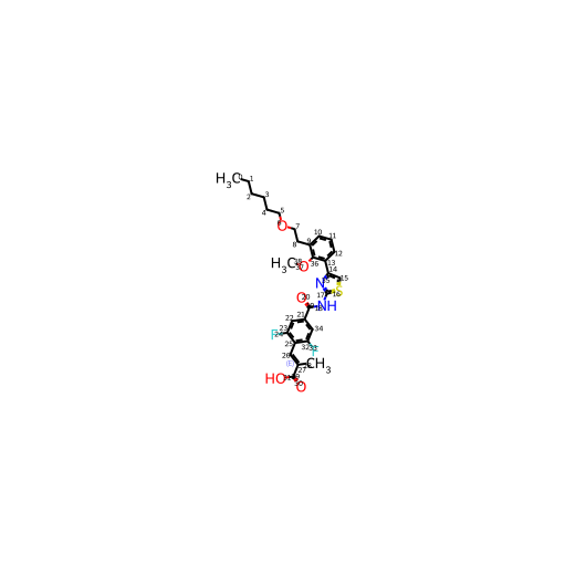 CCCCCCOCCc1cccc(-c2csc(NC(=O)c3cc(F)c(/C=C(\C)C(=O)O)c(F)c3)n2)c1OC